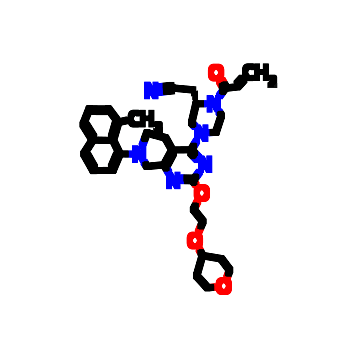 C=CC(=O)N1CCN(c2nc(OCCOC3CCOCC3)nc3c2CCN(c2cccc4cccc(C)c24)C3)C[C@@H]1CC#N